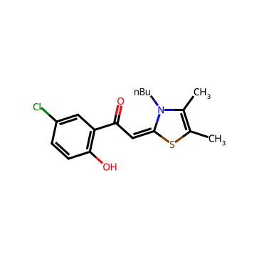 CCCCN1C(=CC(=O)c2cc(Cl)ccc2O)SC(C)=C1C